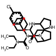 CCN(CC)C(=O)N(C1CCCCC1)C1CC2CCC(C1)N2C(=O)[C@@H](Cc1ccc(Cl)cc1)NC1CCNC1